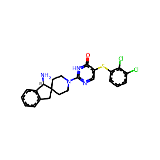 N[C@@H]1c2ccccc2CC12CCN(c1ncc(Sc3cccc(Cl)c3Cl)c(=O)[nH]1)CC2